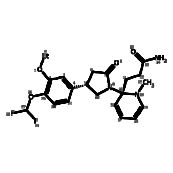 CCOc1cc([C@@H]2CC(=O)N([C@@]3(CCC(N)=O)C=CC=CN3C)C2)ccc1OC(F)F